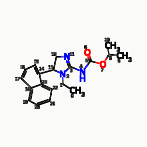 CCN1C(NC(=O)OC(C)C)=NCC1c1cccc2ccccc12